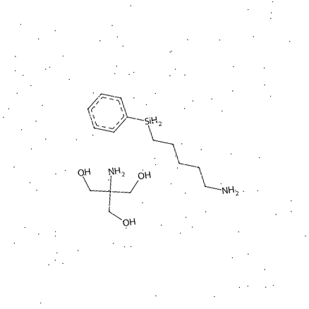 NC(CO)(CO)CO.NCCCCC[SiH2]c1ccccc1